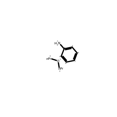 CCCOCCC.Nc1ccccc1